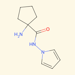 NC1(C(=O)Nn2cccc2)CCCC1